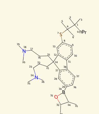 CCCC(C)(C)C(C)(C)Sc1ccc2c(c1)C(CCCN(C)C)(CCCN(C)C)c1cc(B3OC(C)C3C)ccc1-2